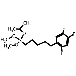 CO[Si](CCCCCc1cc(F)c(F)cc1F)(OC)OC(C)C